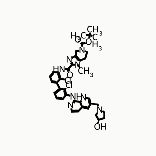 Cn1c(C(=O)Nc2cccc(-c3cccc(Nc4nccc5cc(CN6CC[C@@H](O)C6)cnc45)c3Cl)c2Cl)nc2c1CCN(C(=O)OC(C)(C)C)C2